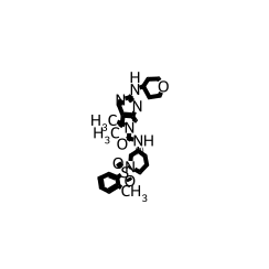 Cc1ccccc1S(=O)(=O)N1CCC[C@@H](NC(=O)N2Cc3nc(NC4CCOCC4)ncc3C2(C)C)C1